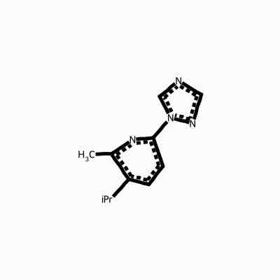 Cc1nc(-n2cncn2)ccc1C(C)C